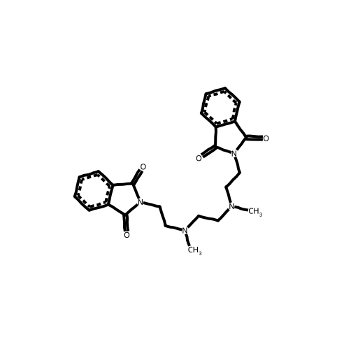 CN(CCN(C)CCN1C(=O)c2ccccc2C1=O)CCN1C(=O)c2ccccc2C1=O